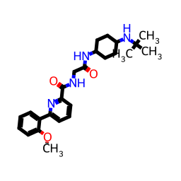 COc1ccccc1-c1cccc(C(=O)NCC(=O)NC2CCC(NC(C)(C)C)CC2)n1